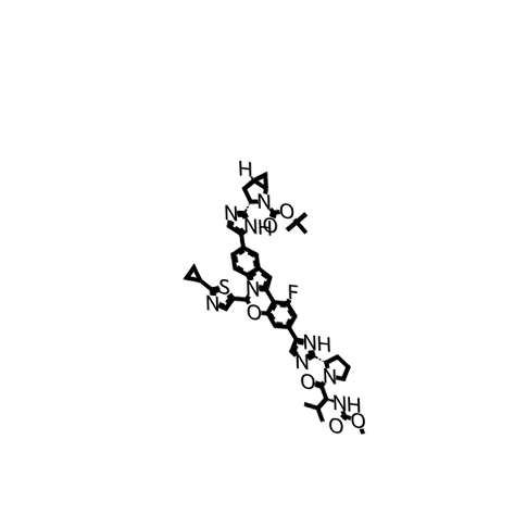 COC(=O)N[C@H](C(=O)N1CCC[C@H]1c1ncc(-c2cc(F)c3c(c2)OC(c2cnc(C4CC4)s2)n2c-3cc3cc(-c4cnc([C@@H]5C[C@H]6CC6N5C(=O)OC(C)(C)C)[nH]4)ccc32)[nH]1)C(C)C